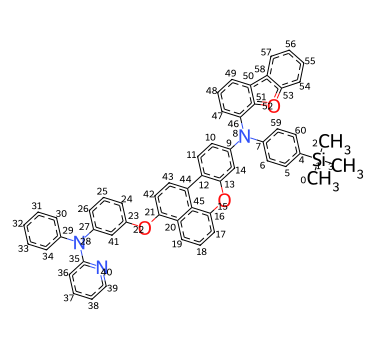 C[Si](C)(C)c1ccc(N(c2ccc3c(c2)Oc2cccc4c(Oc5cccc(N(c6ccccc6)c6ccccn6)c5)ccc-3c24)c2cccc3c2oc2ccccc23)cc1